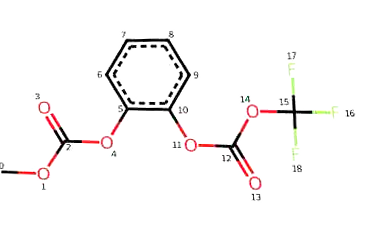 COC(=O)Oc1ccccc1OC(=O)OC(F)(F)F